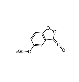 CCCCOc1ccc2c(c1)C(=C=O)OO2